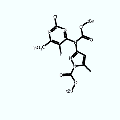 Cc1cc(N(C(=O)OC(C)(C)C)c2nc(Cl)nc(C(=O)O)c2F)nn1C(=O)OC(C)(C)C